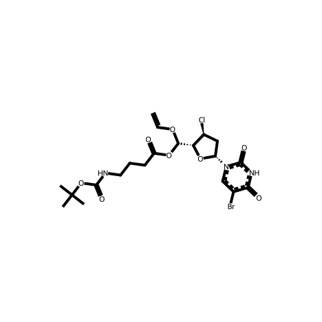 C=COC(OC(=O)CCCNC(=O)OC(C)(C)C)[C@H]1O[C@@H](n2cc(Br)c(=O)[nH]c2=O)C[C@@H]1Cl